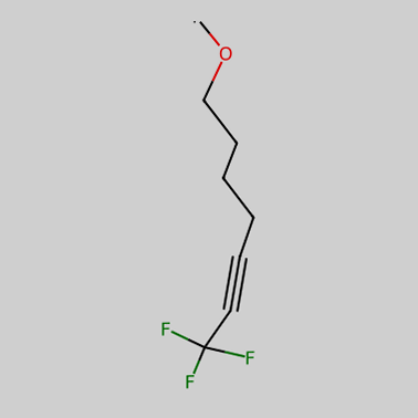 [CH2]OCCCCC#CC(F)(F)F